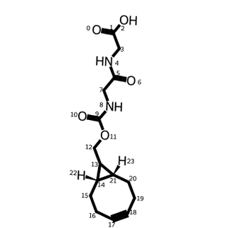 O=C(O)CNC(=O)CNC(=O)OCC1[C@H]2CCC#CCC[C@@H]12